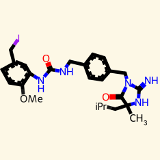 COc1ccc(CI)cc1NC(=O)NCc1ccc(CN2C(=N)NC(C)(CC(C)C)C2=O)cc1